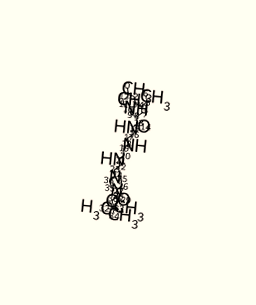 CCCCC(CC)CC(CNCC)C(=O)NCCNCCNCCN1CCN(C(=O)OC(C)(C)C)CC1